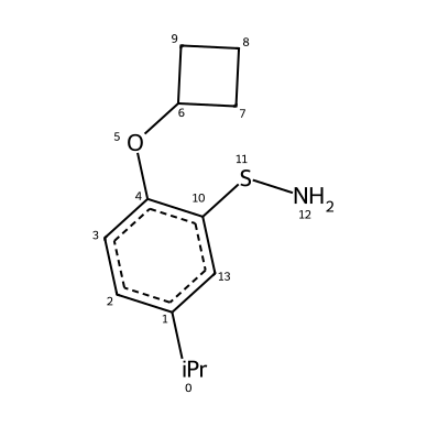 CC(C)c1ccc(OC2CCC2)c(SN)c1